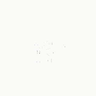 CCCCOC(=O)N1CCCOCC1c1ccc(C2COC2)cc1Cl